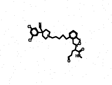 CNC(=O)C(CCC=O)N1Cc2c(CCCCCN3CCC(C#N)(c4cc(Cl)cc(Cl)c4)CC3)cccc2SO1